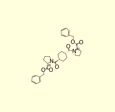 O=C(OCc1ccccc1)[C@H]1CCCN1C(=O)[C@H]1CC[C@H](C(=O)N2CCC[C@@H]2C(=O)OCc2ccccc2)CC1